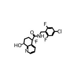 O=C(NCc1c(F)cc(Cl)cc1F)[C@]1(F)CC[C@H](O)c2ncccc21